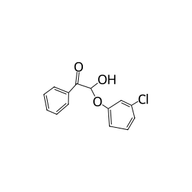 O=C(c1ccccc1)C(O)Oc1cccc(Cl)c1